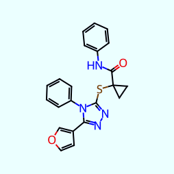 O=C(Nc1ccccc1)C1(Sc2nnc(-c3ccoc3)n2-c2ccccc2)CC1